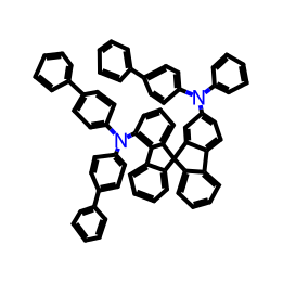 c1ccc(-c2ccc(N(c3ccccc3)c3ccc4c(c3)C3(c5ccccc5-4)c4ccccc4-c4c(N(c5ccc(-c6ccccc6)cc5)c5ccc(-c6ccccc6)cc5)cccc43)cc2)cc1